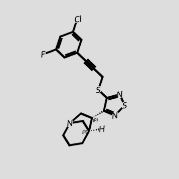 Fc1cc(Cl)cc(C#CCSc2nsnc2[C@H]2CN3CCC[C@H]2C3)c1